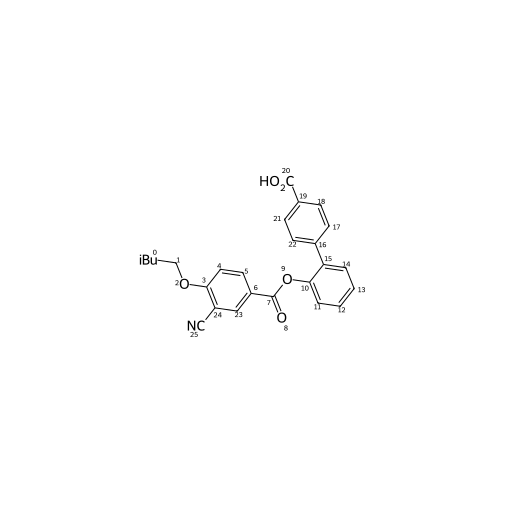 CCC(C)COc1ccc(C(=O)Oc2ccccc2-c2ccc(C(=O)O)cc2)cc1C#N